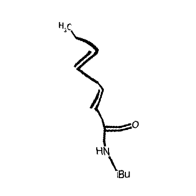 C/C=C/C=C/C(=O)NC(C)CC